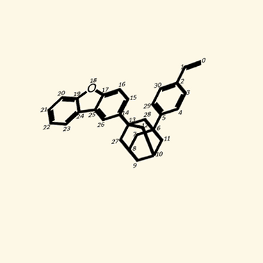 C=Cc1ccc(C23CC4CC(C2)CC(c2ccc5oc6ccccc6c5c2)(C4)C3)cc1